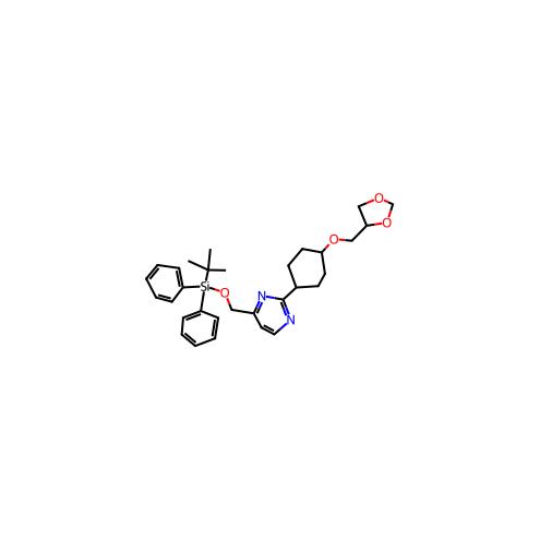 CC(C)(C)[Si](OCc1ccnc(C2CCC(OCC3COCO3)CC2)n1)(c1ccccc1)c1ccccc1